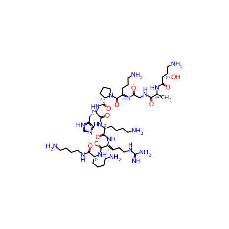 C[C@H](NC(=O)C[C@@H](O)CN)C(=O)NCC(=O)/N=C(\CCCN)C(=O)N1CCC[C@H]1C(=O)N[C@@H](Cc1cnc[nH]1)C(=O)N[C@@H](CCCCN)C(=O)N/C(=C\CCNC(=N)N)C(=O)N[C@@H](CCCCN)C(=O)NCCCCN